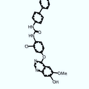 COc1cc2c(Oc3ccc(NC(=O)Nc4ccc(-c5ccccc5)cc4)c(Cl)c3)ncnc2cc1O